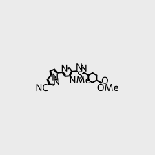 CNc1cc(-c2ccc3cc(C#N)cnn23)ncc1-c1nnc(C2CCC(C(=O)OC)CC2)s1